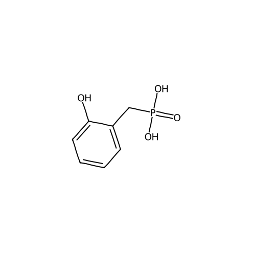 O=P(O)(O)Cc1ccccc1O